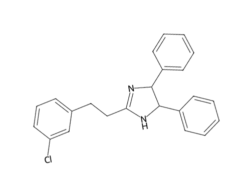 Clc1cccc(CCC2=NC(c3ccccc3)C(c3ccccc3)N2)c1